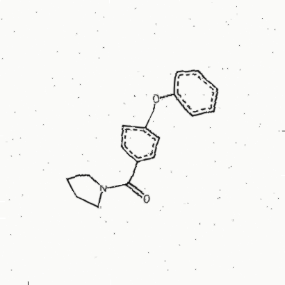 O=C(c1ccc(Oc2ccccc2)cc1)N1[CH]CCC1